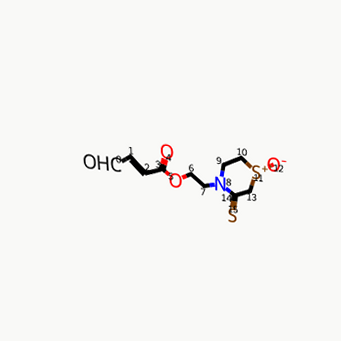 O=C/C=C/C(=O)OCCN1CC[S+]([O-])CC1=S